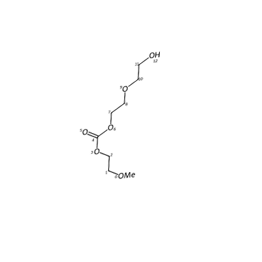 COCCOC(=O)OCCOCCO